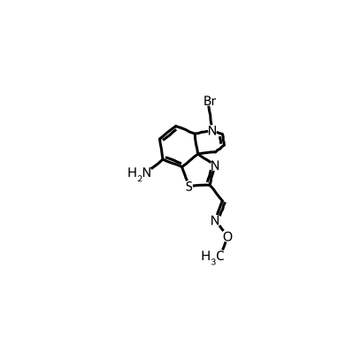 CON=CC1=NC23CC=CN(Br)C2C=CC(N)=C3S1